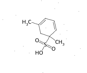 CC1=CC=CC(C)(S(=O)(=O)O)C1